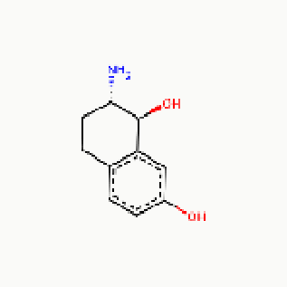 N[C@H]1CCc2ccc(O)cc2[C@@H]1O